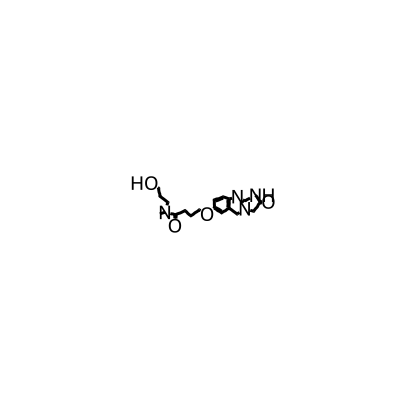 CN(CCCO)C(=O)CCCOc1ccc2c(c1)CN1CC(=O)NC1=N2